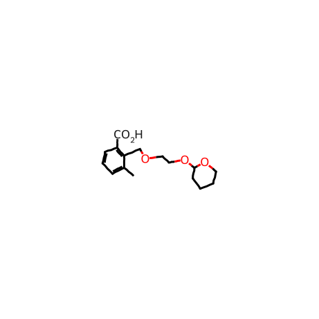 Cc1cccc(C(=O)O)c1COCCOC1CCCCO1